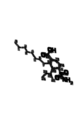 CCCCCCCCc1c(C(=O)O)ccc(S(N)(=O)=O)c1C(C)CC